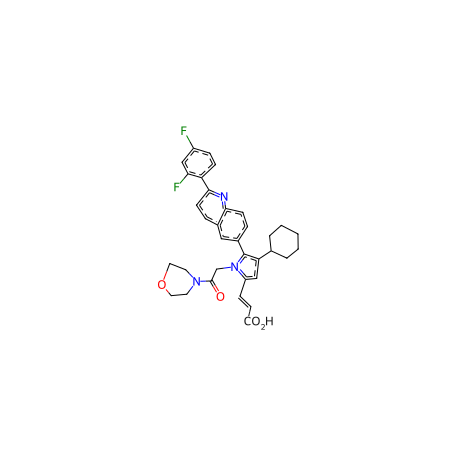 O=C(O)/C=C/c1cc(C2CCCCC2)c(-c2ccc3nc(-c4ccc(F)cc4F)ccc3c2)n1CC(=O)N1CCOCC1